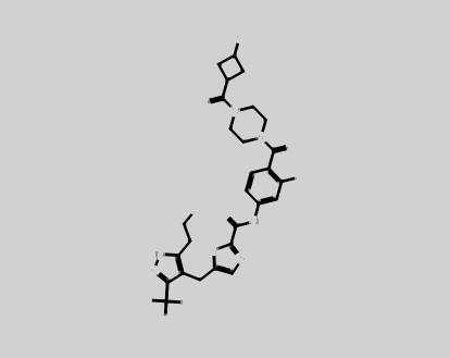 NC1CC(C(=O)N2CCN(C(=O)c3ccc(NC(=O)c4ncc(Cc5c(C(F)(F)F)n[nH]c5CCF)[nH]4)cc3Cl)CC2)C1